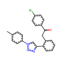 Cc1ccc(-n2cc(-c3ccccc3CC(=O)c3ccc(Br)cc3)nn2)cc1